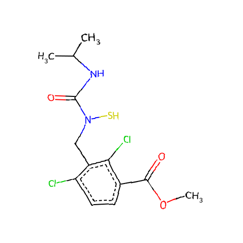 COC(=O)c1ccc(Cl)c(CN(S)C(=O)NC(C)C)c1Cl